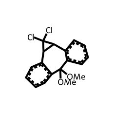 COC1(OC)c2ccccc2C2C(c3ccccc31)C2(Cl)Cl